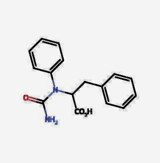 NC(=O)N(c1ccccc1)C(Cc1ccccc1)C(=O)O